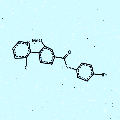 COc1cc(C(=O)Nc2ccc(C(C)C)cc2)ccc1-c1ncccc1Cl